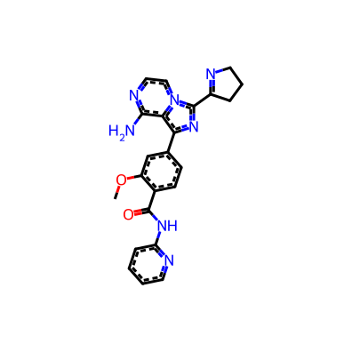 COc1cc(-c2nc(C3=NCCC3)n3ccnc(N)c23)ccc1C(=O)Nc1ccccn1